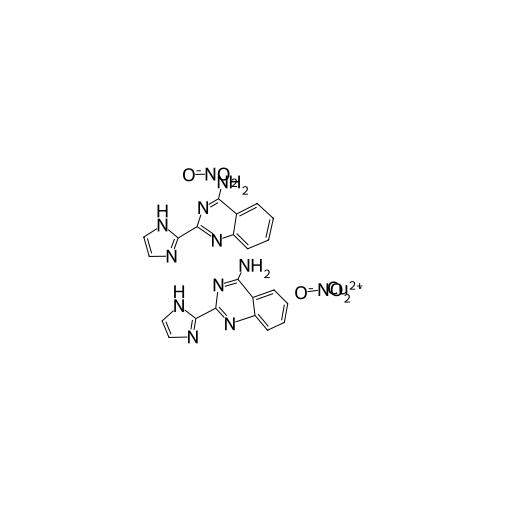 Nc1nc(-c2ncc[nH]2)nc2ccccc12.Nc1nc(-c2ncc[nH]2)nc2ccccc12.O=[N+]([O-])[O-].O=[N+]([O-])[O-].[Cu+2]